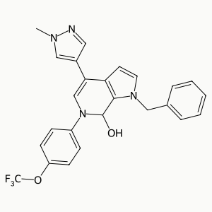 Cn1cc(C2=CN(c3ccc(OC(F)(F)F)cc3)C(O)c3c2ccn3Cc2ccccc2)cn1